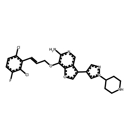 Nc1ncc2c(-c3cnn(C4CCNCC4)c3)coc2c1OCC=Cc1c(Cl)ccc(F)c1Cl